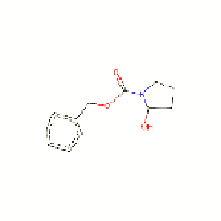 O=C(OCc1ccccc1)N1CC[CH]C1O